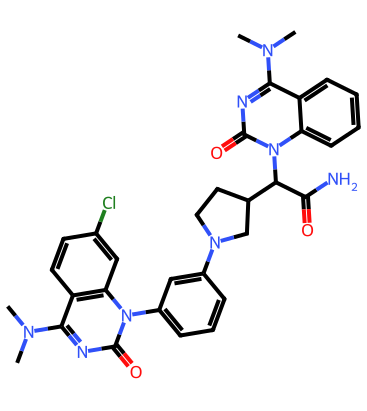 CN(C)c1nc(=O)n(-c2cccc(N3CCC(C(C(N)=O)n4c(=O)nc(N(C)C)c5ccccc54)C3)c2)c2cc(Cl)ccc12